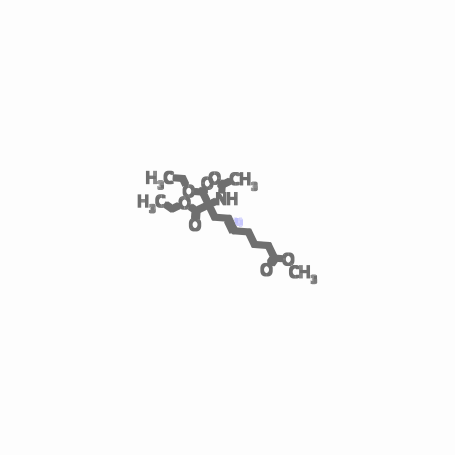 CCOC(=O)C(C/C=C/CCCC(=O)OC)(NC(C)=O)C(=O)OCC